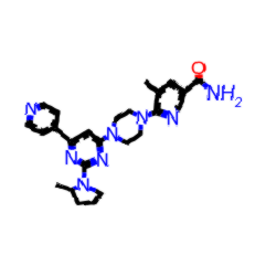 Cc1cc(C(N)=O)cnc1N1CCN(c2cc(-c3ccncc3)nc(N3CCCC3C)n2)CC1